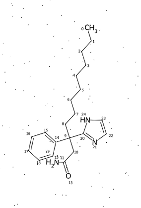 CCCCCCCCCC(CC(N)=O)(c1ccccc1)c1ncc[nH]1